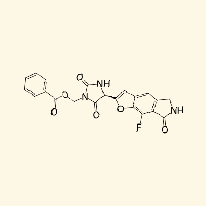 O=C(OCN1C(=O)N[C@@H](c2cc3cc4c(c(F)c3o2)C(=O)NC4)C1=O)c1ccccc1